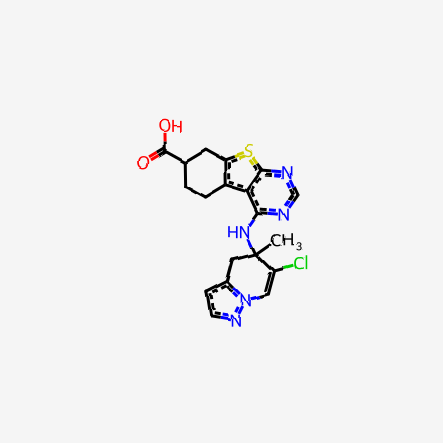 CC1(Nc2ncnc3sc4c(c23)CCC(C(=O)O)C4)Cc2ccnn2C=C1Cl